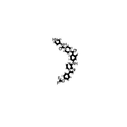 Cc1cc(Nc2nccn3c(-c4ccc(OC(F)F)cc4)cnc23)ccc1C(=O)N1CCN(C(=O)N[C@@H]2CCNC2)CC1